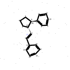 C(=C\[C@@H]1CCC[C@H]1c1ccccc1)/c1ccccc1